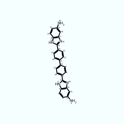 Nc1ccc2[nH]c(-c3ccc(-c4ccc(-c5nc6cc(N)ccc6[nH]5)cc4)cc3)nc2c1